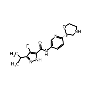 CC(C)c1n[nH]c(C(=O)Nc2ccc([C@H]3CNCCO3)nc2)c1F